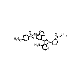 C=CC(=O)N1CCC[C@@H](n2nc(-c3ccc(NS(=O)(=O)c4ccc(OC)cc4)c4c3OCO4)c3c(N)ncnc32)C1